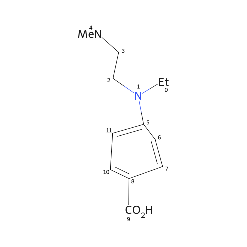 CCN(CCNC)c1ccc(C(=O)O)cc1